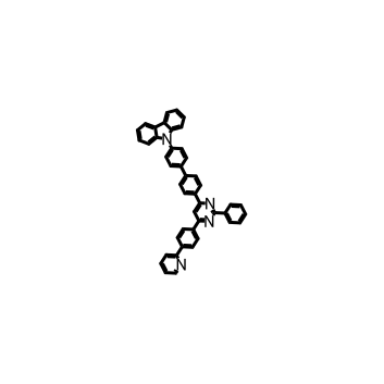 c1ccc(-c2nc(-c3ccc(-c4ccc(-n5c6ccccc6c6ccccc65)cc4)cc3)cc(-c3ccc(-c4ccccn4)cc3)n2)cc1